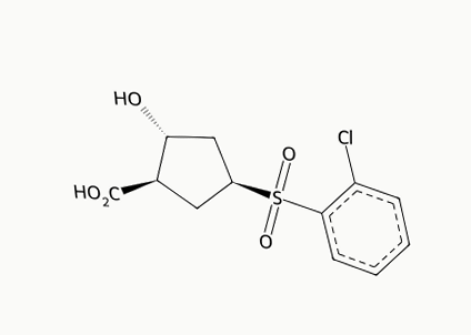 O=C(O)[C@@H]1C[C@H](S(=O)(=O)c2ccccc2Cl)C[C@H]1O